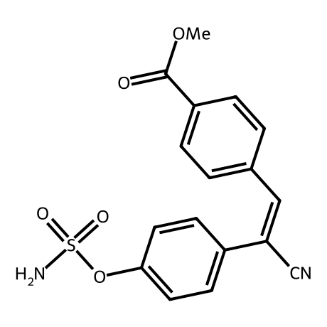 COC(=O)c1ccc(C=C(C#N)c2ccc(OS(N)(=O)=O)cc2)cc1